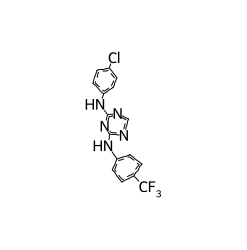 FC(F)(F)c1ccc(Nc2ncnc(Nc3ccc(Cl)cc3)n2)cc1